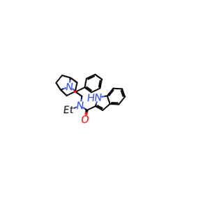 CCN(CC1CC2CCC(C1)N2Cc1ccccc1)C(=O)c1cc2ccccc2[nH]1